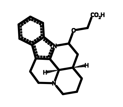 O=C(O)COC1C[C@H]2CCCN3CCc4c(n1c1ccccc41)[C@@H]23